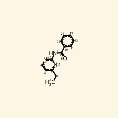 CCc1ccnc(NC(=O)c2ccccc2)n1